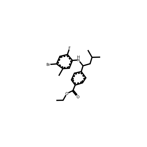 CCOC(=O)c1ccc(C(CC(C)C)Nc2cc(C)c(Br)cc2F)cc1